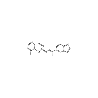 C=N/C(=N\C=C(/C)c1ccc2nccn2c1)Oc1ccccc1F